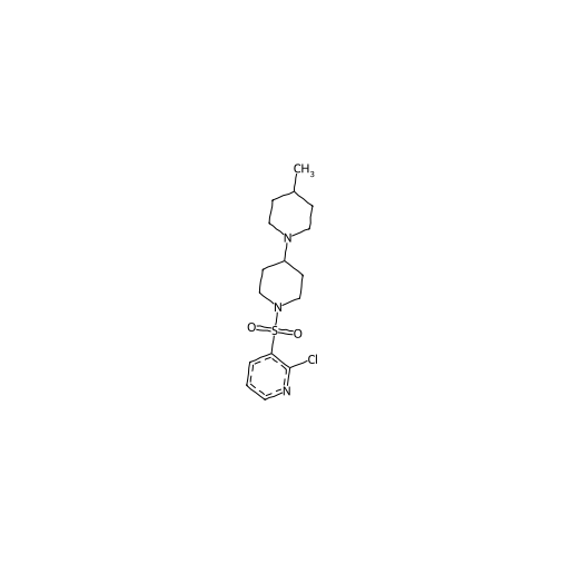 CC1CCN(C2CCN(S(=O)(=O)c3cccnc3Cl)CC2)CC1